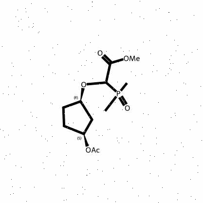 COC(=O)C(O[C@@H]1CC[C@H](OC(C)=O)C1)P(C)(C)=O